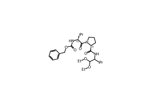 CCOC(OCC)C(NC(=O)[C@@H]1CCCN1C(=O)[C@@H](NC(=O)OCc1ccccc1)C(C)C)C(C)C